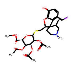 COC(=O)[C@H]1OC(SCC2Oc3c(O)ccc(CI)c3C23CCN(C)CC3C)C(OC(C)=O)[C@@H](OC(C)=O)C1OC(C)=O